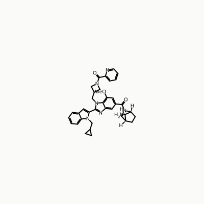 COc1cc(C(=O)N2C[C@H]3CC[C@@H]2[C@@H]3N)cc2nc(-c3cc4ccccc4n3CC3CC3)n(CC3CN(C(=O)c4ccccn4)C3)c12